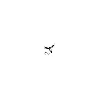 IB(I)I.[Cs]